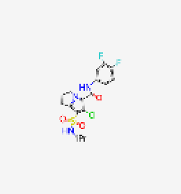 CC(C)NS(=O)(=O)c1c(Cl)c(C(=O)Nc2ccc(F)c(F)c2)n2c1C=CC2